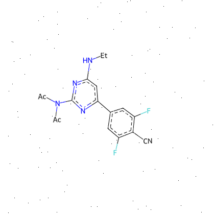 CCNc1cc(-c2cc(F)c(C#N)c(F)c2)nc(N(C(C)=O)C(C)=O)n1